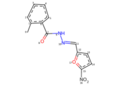 Cc1ccccc1C(=O)N/N=C/c1ccc([N+](=O)[O-])o1